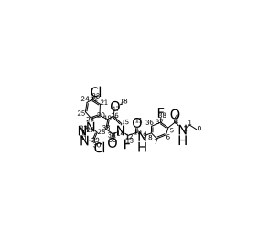 CCNC(=O)c1ccc(NC(=O)C(F)n2cc(OC)c(-c3cc(Cl)ccc3-n3cc(Cl)nn3)cc2=O)cc1F